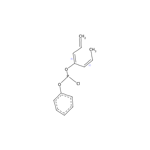 C=C/C=C(\C=C/C)OP(Cl)Oc1ccccc1